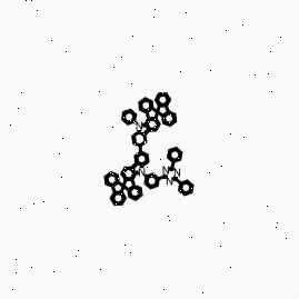 C1=CC(c2ccc3c(c2)c2ccc4c(c2n3-c2cccc(-c3nc(-c5ccccc5)nc(-c5ccccc5)n3)c2)-c2ccccc2C42c3ccccc3-c3ccccc32)Cc2c1n(-c1ccccc1)c1c3c(ccc21)C1(c2ccccc2-c2ccccc21)c1ccccc1-3